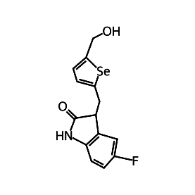 O=C1Nc2ccc(F)cc2C1Cc1ccc(CO)[se]1